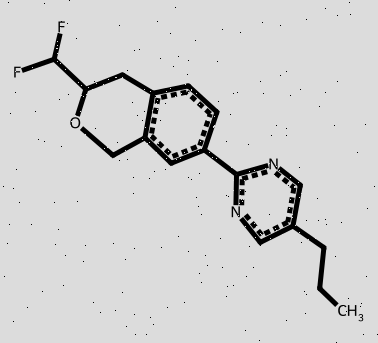 CCCc1cnc(-c2ccc3c(c2)COC(C(F)F)C3)nc1